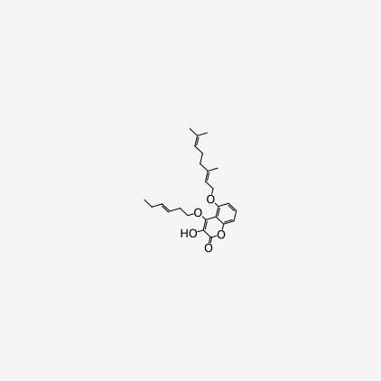 CC/C=C/CCOc1c(O)c(=O)oc2cccc(OC/C=C(\C)CCC=C(C)C)c12